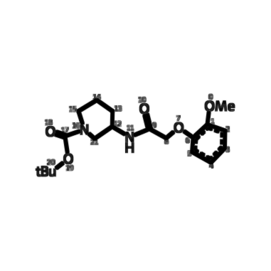 COc1ccccc1OCC(=O)NC1CCCN(C(=O)OC(C)(C)C)C1